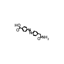 NC(=O)Cc1ccc(N=Nc2ccc(C(=O)O)cc2)cc1